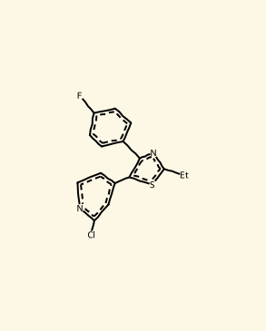 CCc1nc(-c2ccc(F)cc2)c(-c2ccnc(Cl)c2)s1